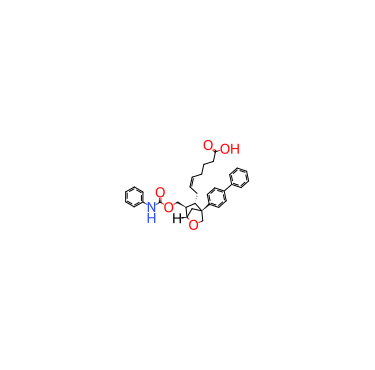 O=C(O)CCC/C=C\C[C@H]1[C@H](COC(=O)Nc2ccccc2)[C@@H]2C[C@@]1(c1ccc(-c3ccccc3)cc1)CO2